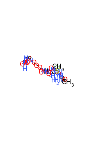 C=C1CNc2nc(N3CCC4(CC3)CO[C@@H](C)[C@H]4N)cnc2S/C1=C(Cl)/C(=C\C)NC(=O)CCC(=O)N1CCN(C(=O)CCOCCOCCOCCNc2cccc3cnn(C4CCC(=O)NC4=O)c(=O)c23)CC1